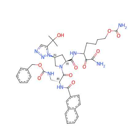 CC(C)(O)c1cnnn1[C@H]1C[C@@H](C(=O)NC(CCCCOC(N)=O)C(=O)C(N)=O)N(C(=O)[C@@H](CNC(=O)OCc2ccccc2)NC(=O)c2ccc3ccccc3c2)C1